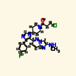 CNc1cn2nc(-c3c(-c4ccc(F)cc4)ncn3C3CCN(C(=O)CCCl)CC3)ccc2n1